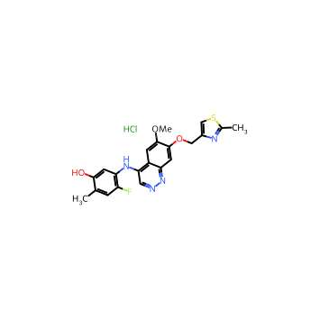 COc1cc2c(Nc3cc(O)c(C)cc3F)cnnc2cc1OCc1csc(C)n1.Cl